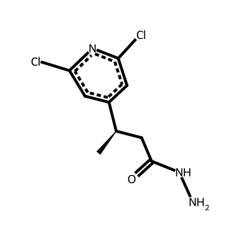 C[C@H](CC(=O)NN)c1cc(Cl)nc(Cl)c1